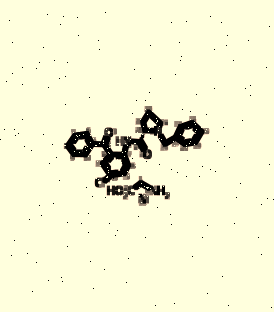 NCC(=O)O.O=C(c1ccccc1)c1cc(Cl)ccc1NC(=O)[C@@H]1CCCN1Cc1ccccc1.[Ni]